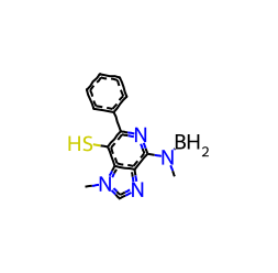 BN(C)c1nc(-c2ccccc2)c(S)c2c1ncn2C